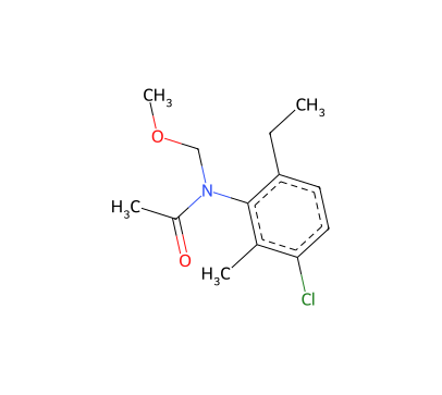 CCc1ccc(Cl)c(C)c1N(COC)C(C)=O